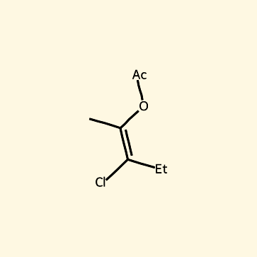 CCC(Cl)=C(C)OC(C)=O